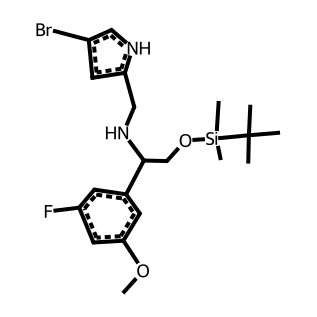 COc1cc(F)cc(C(CO[Si](C)(C)C(C)(C)C)NCc2cc(Br)c[nH]2)c1